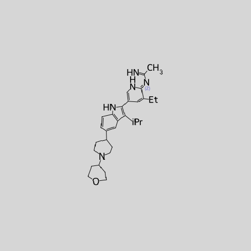 CCc1cc(-c2[nH]c3ccc(C4CCN(C5CCOCC5)CC4)cc3c2C(C)C)c[nH]/c1=N\C(C)=N